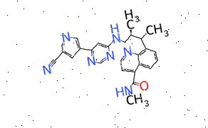 CNC(=O)c1ccnc2c(C(C)[C@H](C)CNc3cc(-c4cncc(C#N)c4)ncn3)cccc12